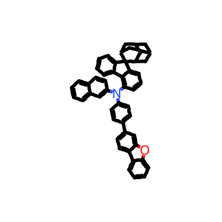 c1ccc2c(c1)-c1c(N(c3ccc(-c4ccc5c(c4)oc4ccccc45)cc3)c3ccc4ccccc4c3)cccc1C21C2CC3CC(C2)CC1C3